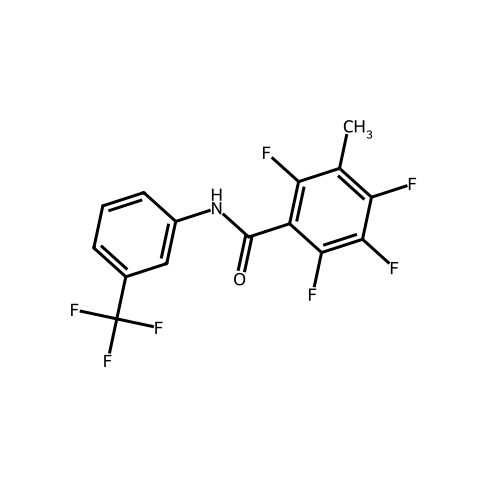 Cc1c(F)c(F)c(F)c(C(=O)Nc2cccc(C(F)(F)F)c2)c1F